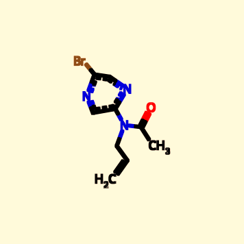 C=CCN(C(C)=O)c1cnc(Br)cn1